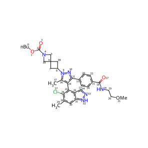 CCCCOC(=O)N1CC2(CC(n3nc(-c4ccc(C(=O)NCCOC)cc4)c(-c4c(Cl)c(C)cc5[nH]ncc45)c3C)C2)C1